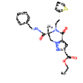 CCOC(=O)c1cc2n(n1)CC(C)(C(=O)NCc1ccccc1)N(CCc1cccs1)C2=O